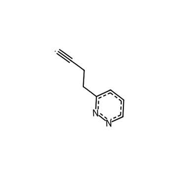 [C]#CCCc1cccnn1